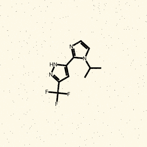 CC(C)n1ccnc1-c1cc(C(F)(F)F)n[nH]1